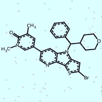 Cc1cc(-c2cnc3c4sc(Br)cc4n(C(c4ccccc4)C4CCOCC4)c3c2)cn(C)c1=O